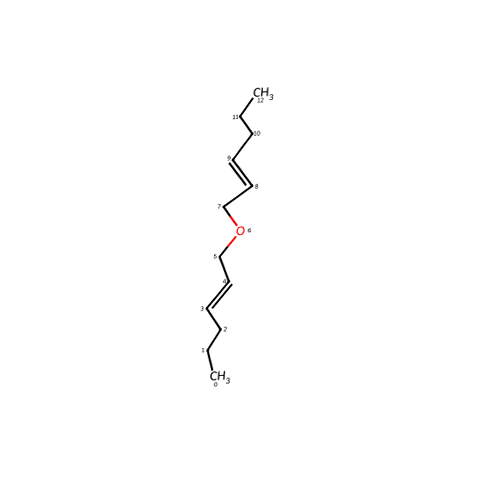 CCC/C=C/COC/C=C/CCC